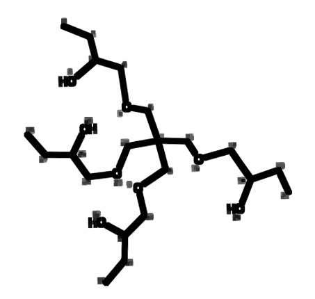 CCC(O)COCC(COCC(O)CC)(COCC(O)CC)COCC(O)CC